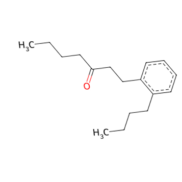 CCCCC(=O)CCc1ccccc1CCCC